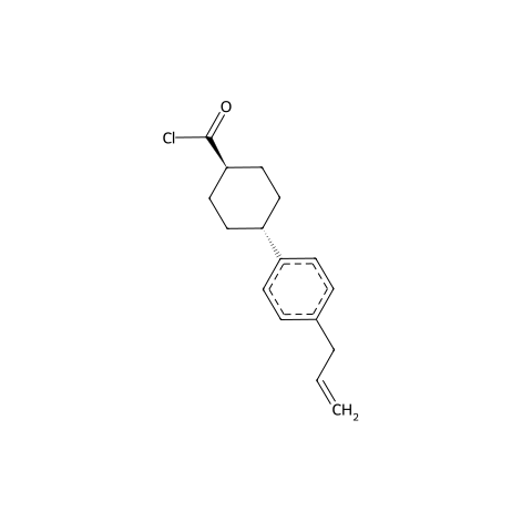 C=CCc1ccc([C@H]2CC[C@H](C(=O)Cl)CC2)cc1